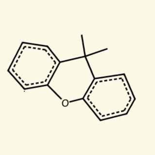 CC1(C)c2ccc[c]c2Oc2ccccc21